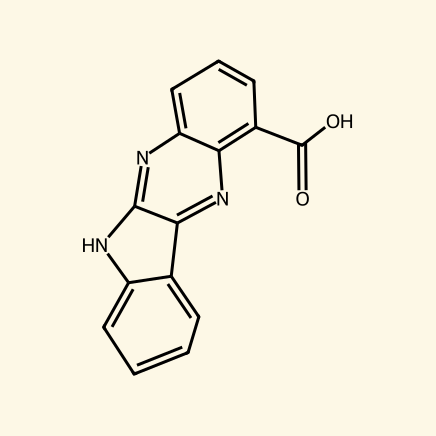 O=C(O)c1cccc2nc3[nH]c4ccccc4c3nc12